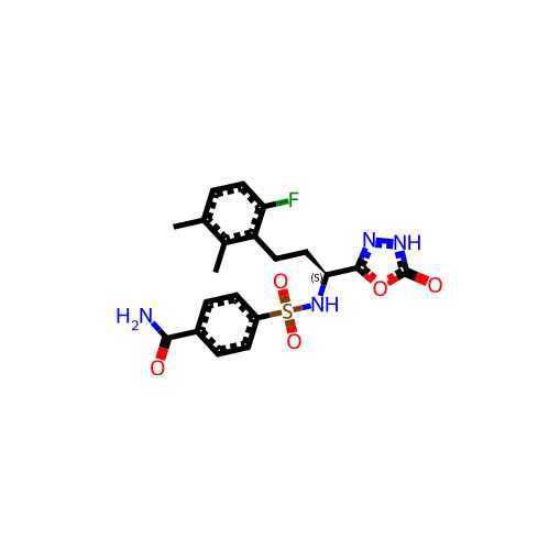 Cc1ccc(F)c(CC[C@H](NS(=O)(=O)c2ccc(C(N)=O)cc2)c2n[nH]c(=O)o2)c1C